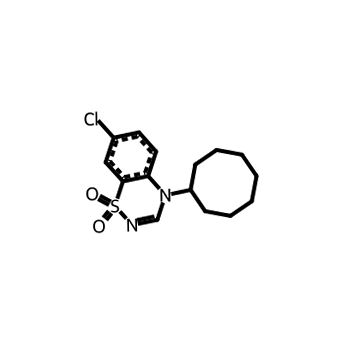 O=S1(=O)N=CN(C2CCCCCCC2)c2ccc(Cl)cc21